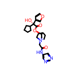 O=C(C[N+]12CCC(CC1)C(OC(=O)[C@](O)(c1ccoc1)C1CCCC1)C2)Nc1cncnc1